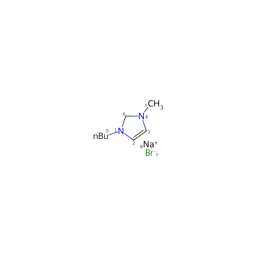 CCCCN1C=CN(C)C1.[Br-].[Na+]